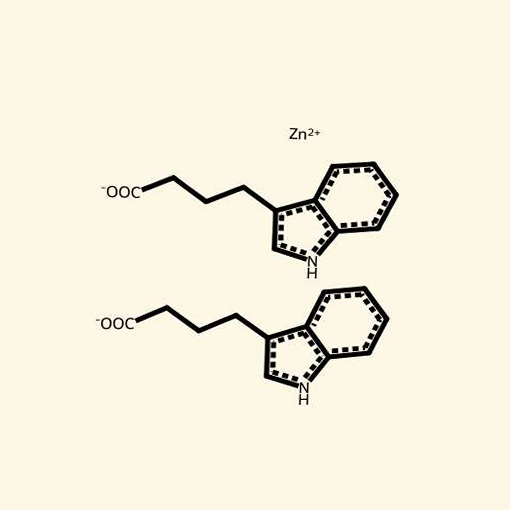 O=C([O-])CCCc1c[nH]c2ccccc12.O=C([O-])CCCc1c[nH]c2ccccc12.[Zn+2]